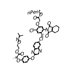 CC(C)=NOCCOC(=O)[C@@H](C)Oc1ccc(Oc2cnc3cc(Cl)ccc3n2)cc1.CCCCCOC(=O)COc1cc(N2C(=O)C3=C(CCCC3)C2=O)c(F)cc1Cl